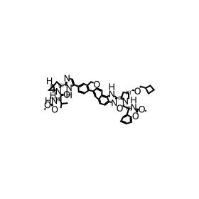 COC(=O)N[C@H](C(=O)N1[C@@H]2C[C@@H]2C[C@H]1c1ncc(-c2ccc3c(c2)COc2cc4c(ccc5nc([C@@H]6C[C@H](COCC7CCC7)CN6C(=O)[C@H](NC(=O)OC)c6ccccc6)[nH]c54)cc2-3)[nH]1)C(C)C